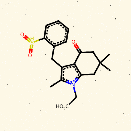 Cc1c(Cc2ccccc2[SH](=O)=O)c2c(n1CC(=O)O)CC(C)(C)CC2=O